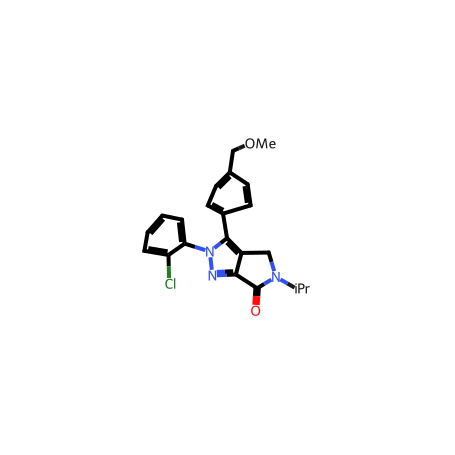 COCc1ccc(-c2c3c(nn2-c2ccccc2Cl)C(=O)N(C(C)C)C3)cc1